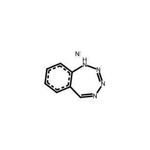 C1=NN=NNc2ccccc21.[N]